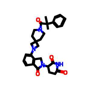 CC(C)(C(=O)N1CCC2(CC1)CN(c1cccc3c1CN(C1CCC(=O)NC1=O)C3=O)C2)c1ccccc1